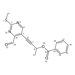 CSc1ncc(C#CC(C)OC(=O)c2ccccc2)c(C=O)n1